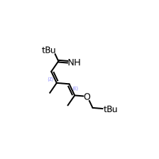 CC(=C/C(=N)C(C)(C)C)/C=C(\C)OCC(C)(C)C